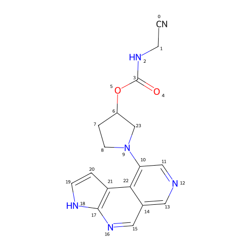 N#CCNC(=O)OC1CCN(c2cncc3cnc4[nH]ccc4c23)C1